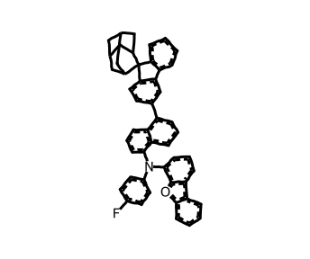 Fc1ccc(N(c2cccc3c(-c4ccc5c(c4)-c4ccccc4C54C5CC6CC(C5)CC4C6)cccc23)c2cccc3c2oc2ccccc23)cc1